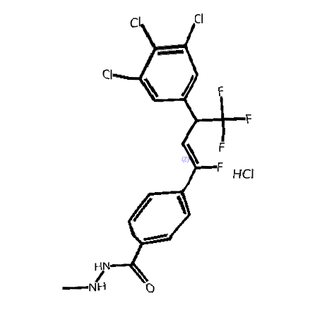 CNNC(=O)c1ccc(/C(F)=C/C(c2cc(Cl)c(Cl)c(Cl)c2)C(F)(F)F)cc1.Cl